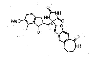 COc1ccc2c(c1F)C(=O)N(C[C@@]1(c3cc4cc5c(cc4o3)C(=O)NCCC5)NC(=O)NC1=O)C2